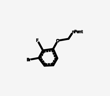 CCCCCCOc1cccc(Br)c1F